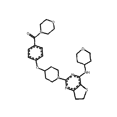 O=C(c1ccc(OC2CCN(c3nc4c(c(NC5CCOCC5)n3)SCC4)CC2)cc1)N1CCOCC1